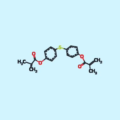 C=C(C)C(=O)Oc1ccc(Sc2ccc(OC(=O)C(=C)C)cc2)cc1